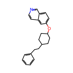 c1ccc(CCC2CCC(Oc3ccc4cnccc4c3)CC2)cc1